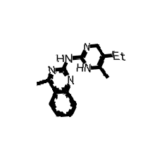 CCC1=C(C)NC(Nc2nc(C)c3ccccc3n2)=NC1